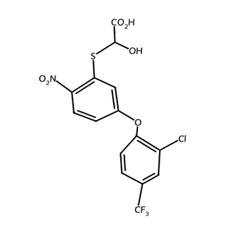 O=C(O)C(O)Sc1cc(Oc2ccc(C(F)(F)F)cc2Cl)ccc1[N+](=O)[O-]